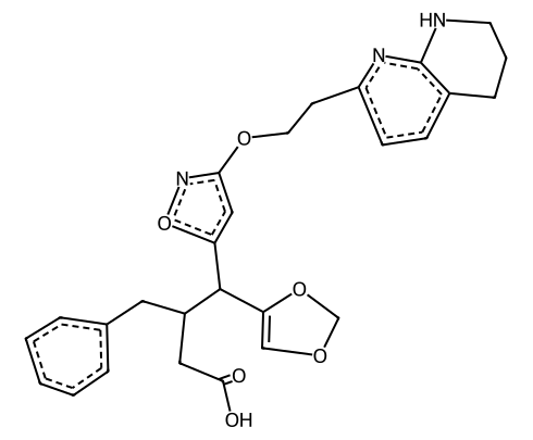 O=C(O)CC(Cc1ccccc1)C(C1=COCO1)c1cc(OCCc2ccc3c(n2)NCCC3)no1